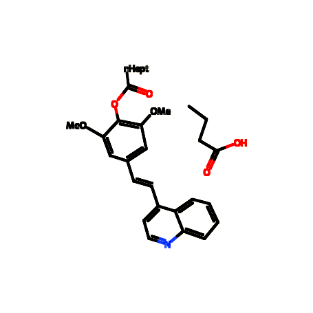 CCCC(=O)O.CCCCCCCC(=O)Oc1c(OC)cc(C=Cc2ccnc3ccccc23)cc1OC